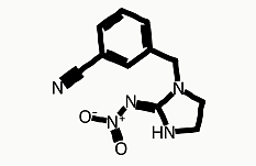 N#Cc1cccc(CN2CCNC2=N[N+](=O)[O-])c1